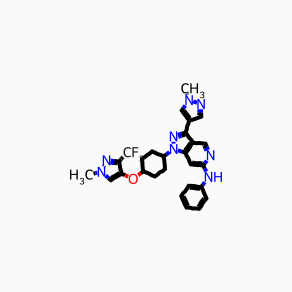 Cn1cc(-c2nn(C3CCC(Oc4cn(C)nc4C(F)(F)F)CC3)c3cc(Nc4ccccc4)ncc23)cn1